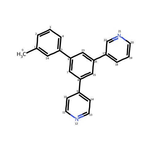 Cc1cccc(-c2cc(-c3ccncc3)cc(-c3cccnc3)c2)c1